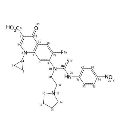 O=C(O)c1cn(C2CC2)c2cc(N(CCN3CCCC3)C(=S)Nc3ccc([N+](=O)[O-])cc3)c(F)cc2c1=O